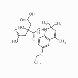 CCOc1ccc2c(c1)C(C)=CC(C)(C)N2.O=C(O)CC(O)(CC(=O)O)C(=O)O